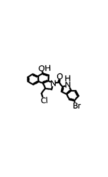 O=C(c1cc2cc(Br)ccc2[nH]1)N1CC(CCl)c2c1cc(O)c1ccccc21